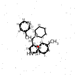 Cc1cccnc1[C@H]1CCC[C@@H](c2ncccc2C)N1Cc1c[nH]cn1